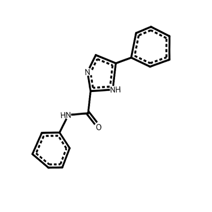 O=C(Nc1ccccc1)c1ncc(-c2ccccc2)[nH]1